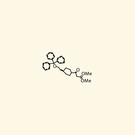 COP(CC(=O)C1CCC(=CCOC(c2ccccc2)(c2ccccc2)c2ccccc2)CC1)OC